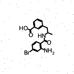 CC(Cc1cccc(C(=O)O)c1)NC(=O)c1ccc(Br)cc1N